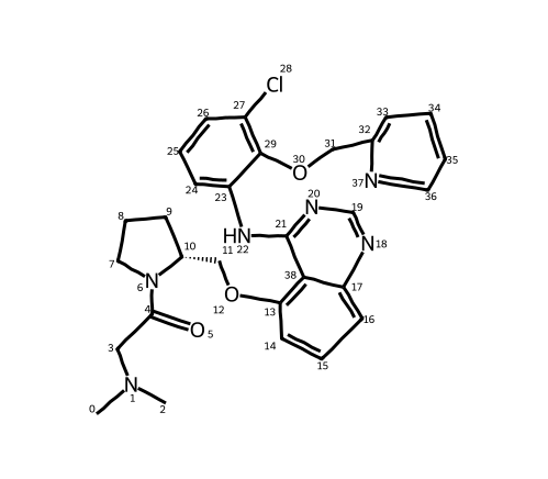 CN(C)CC(=O)N1CCC[C@@H]1COc1cccc2ncnc(Nc3cccc(Cl)c3OCc3ccccn3)c12